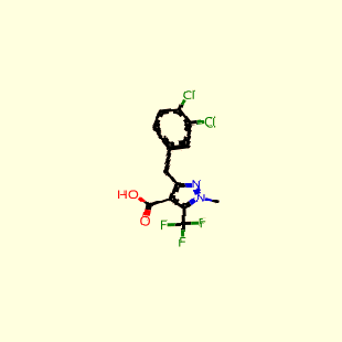 Cn1nc(Cc2ccc(Cl)c(Cl)c2)c(C(=O)O)c1C(F)(F)F